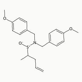 C=CCC(C)[S+]([O-])N(Cc1ccc(OC)cc1)Cc1ccc(OC)cc1